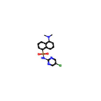 CN(C)c1cccc2c(S(=O)(=O)Nc3ncc(Cl)cn3)cccc12